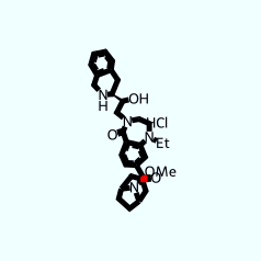 CCN1CCN(CC(O)[C@@H]2Cc3ccccc3CN2)C(=O)c2ccc(C(=O)N3C4CCC3CC(OC)C4)cc21.Cl